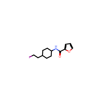 O=C(NC1CCC(CCI)CC1)c1ccco1